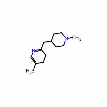 BC1=CN=C(CC2CCN(C)CC2)CC1